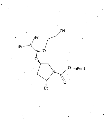 CCCCCOC(=O)N1C[C@H](OP(OCCC#N)N(C(C)C)C(C)C)C[C@H]1CC